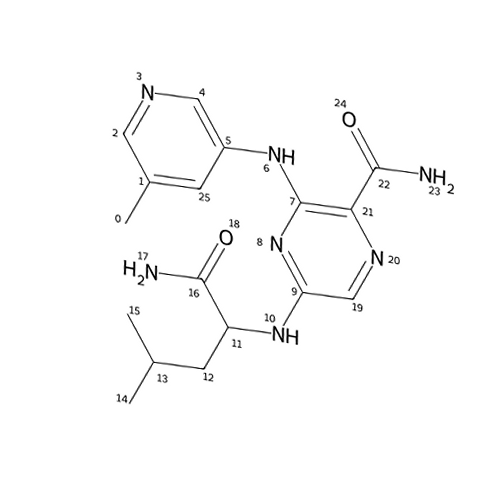 Cc1cncc(Nc2nc(NC(CC(C)C)C(N)=O)cnc2C(N)=O)c1